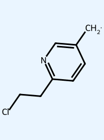 [CH2]c1ccc(CCCl)nc1